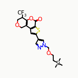 C[Si](C)(C)CCOCn1cc(-c2cc3c4c(oc(=O)c3s2)C(C(F)(F)F)COC4)cn1